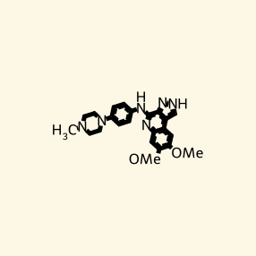 COc1cc2nc(Nc3ccc(N4CCN(C)CC4)cc3)c3n[nH]cc3c2cc1OC